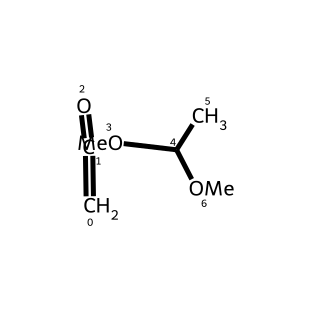 C=C=O.COC(C)OC